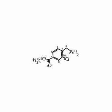 COC(=O)c1ccc(CN)c(Cl)c1